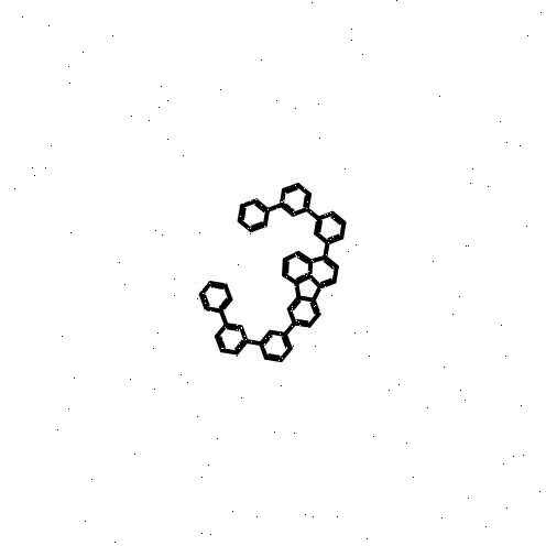 c1ccc(-c2cccc(-c3cccc(-c4ccc5c(c4)-c4cccc6c(-c7cccc(-c8cccc(-c9ccccc9)c8)c7)ccc-5c46)c3)c2)cc1